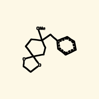 COC1(Cc2ccccc2)CCC2(CC1)OCCO2